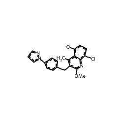 COc1nc2c(Cl)ccc([O])c2c(C)c1Cc1ccc(-n2cccn2)cc1